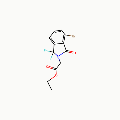 CCOC(=O)CN1C(=O)c2c(Br)cccc2C1(F)F